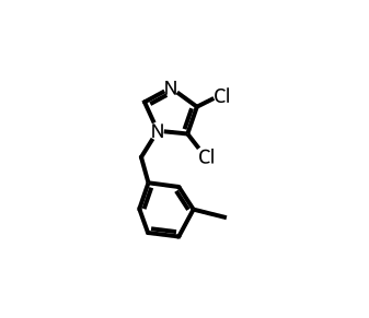 Cc1cccc(Cn2cnc(Cl)c2Cl)c1